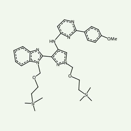 COc1ccc(-c2nccc(Nc3cn(COCC[Si](C)(C)C)nc3-c3nc4ccccc4n3COCC[Si](C)(C)C)n2)cc1